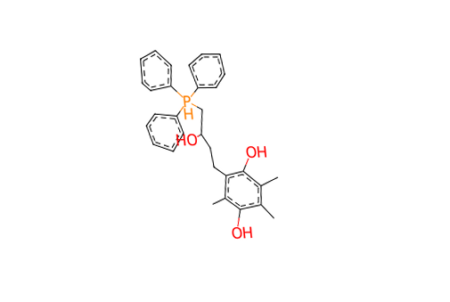 Cc1c(C)c(O)c(CCC(O)C[PH](c2ccccc2)(c2ccccc2)c2ccccc2)c(C)c1O